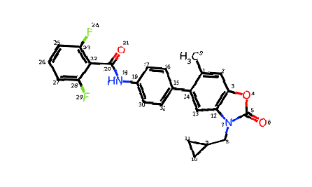 Cc1cc2oc(=O)n(CC3CC3)c2cc1-c1ccc(NC(=O)c2c(F)cccc2F)cc1